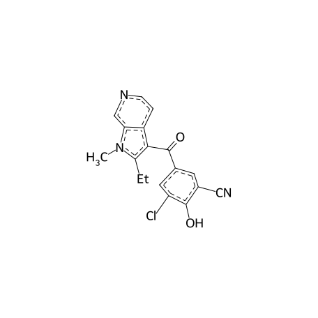 CCc1c(C(=O)c2cc(Cl)c(O)c(C#N)c2)c2ccncc2n1C